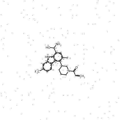 C=CC(=O)N1CCCC(c2c(F)cc(C(N)O)c3[nH]c4cc(C(F)(F)F)ccc4c23)C1